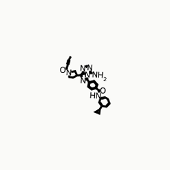 CC#CC(=O)N1CCC(c2nc(-c3ccc(C(=O)NC4=CCC=CC(C5CC5)=C4)cc3)n3c(N)ncnc23)C1